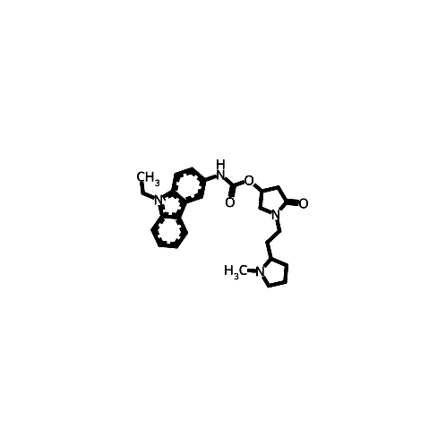 CCn1c2ccccc2c2cc(NC(=O)OC3CC(=O)N(CCC4CCCN4C)C3)ccc21